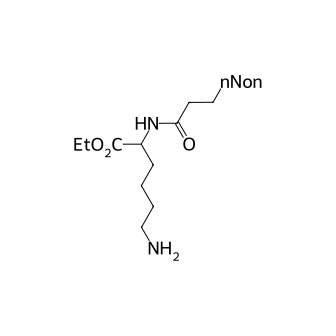 CCCCCCCCCCCC(=O)NC(CCCCN)C(=O)OCC